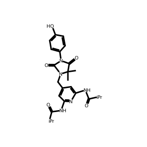 CC(C)C(=O)Nc1cc(CN2C(=O)N(c3ccc(O)cc3)C(=O)C2(C)C)cc(NC(=O)C(C)C)n1